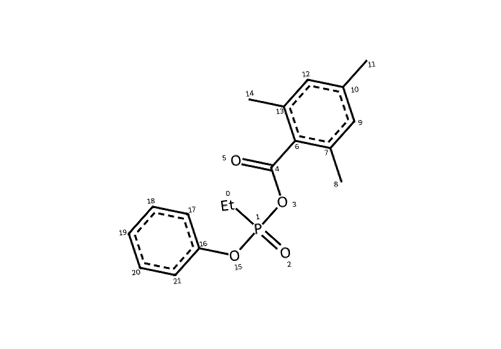 CCP(=O)(OC(=O)c1c(C)cc(C)cc1C)Oc1ccccc1